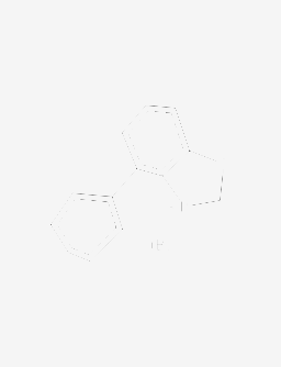 CC(C)(C)[P@@]1COc2cccc(-c3ccccc3)c21